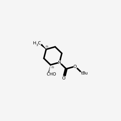 C[C@H]1CCN(C(=O)OC(C)(C)C)[C@H](C=O)C1